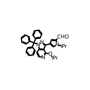 CC(C)Oc1nccc2c1c(-c1cc(C=O)n(C(C)C)c1)nn2C(c1ccccc1)(c1ccccc1)c1ccccc1